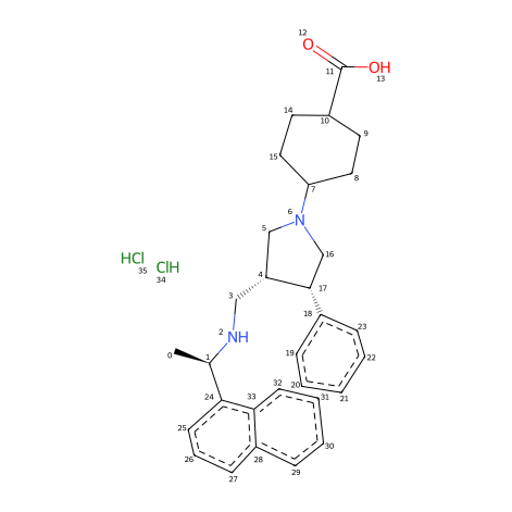 C[C@@H](NC[C@@H]1CN(C2CCC(C(=O)O)CC2)C[C@@H]1c1ccccc1)c1cccc2ccccc12.Cl.Cl